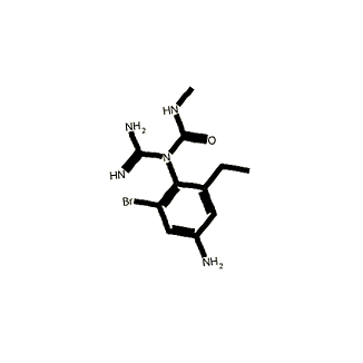 CCc1cc(N)cc(Br)c1N(C(=N)N)C(=O)NC